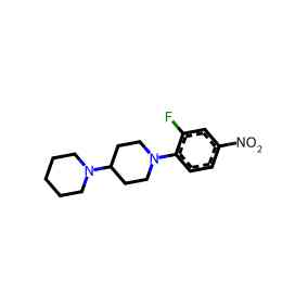 O=[N+]([O-])c1ccc(N2CCC(N3CCCCC3)CC2)c(F)c1